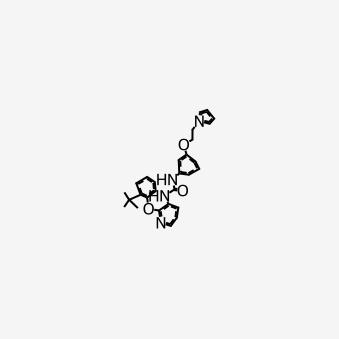 CC(C)(C)c1ccccc1Oc1ncccc1NC(=O)Nc1cccc(OCCn2cccc2)c1